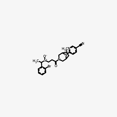 CC(c1ccccc1Br)[S+]([O-])CCC(=O)N1CC2C[C@H](C)C(C1)N2c1ccc(C#N)cn1